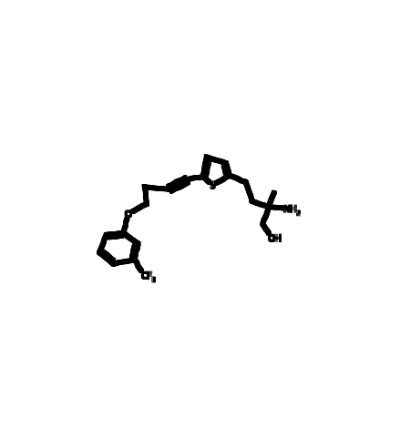 CC(N)(CO)CCc1ccc(C#CCCOc2cccc(C(F)(F)F)c2)s1